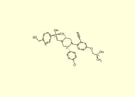 C[C@H](O)COc1ccc(N2CCN(C[C@@](C)(O)c3ccc(CO)nc3)C[C@H]2c2ccc(Cl)cc2)c(C#N)c1